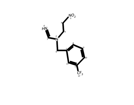 N=CN(CC[N+](=O)[O-])Cc1cccc(C(F)(F)F)c1